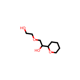 OCCOCC(O)C1CCCCO1